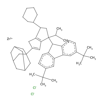 CC(C)C1(C2c3ccc(C(C)(C)C)cc3-c3cc(C(C)(C)C)ccc32)CC(C2CCCCC2)C2=C1C=C(C13CC4CC(CC(C4)C1)C3)C2.[Cl-].[Cl-].[Zr+2]